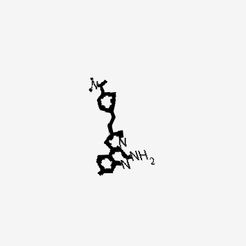 Cc1ccc2c(c1)nc(N)c1ncc(CCc3ccc(C(C)N(C)C)cc3)cc12